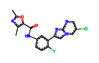 Cc1nc(C)c(C(=O)Nc2ccc(F)c(-c3cn4cc(Cl)cnc4n3)c2)o1